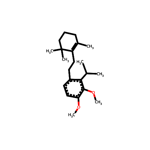 COc1ccc(CCC2=C(C)CCCC2(C)C)c(C(C)C)c1OC